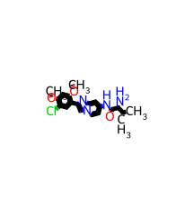 COc1cc(OC)c(-c2cn3ccc(NC(=O)[C@@H](N)C(C)C)cc3n2)cc1Cl